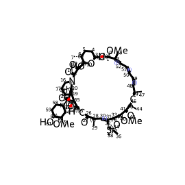 CO[C@H]1C[C@@H]2CC[C@@H](C)[C@@](O)(O2)C(=O)C(=O)N2CCCC3[C@H]2C(=O)O[C@@H](CC(=O)[C@H](C)/C=C(\C)[C@@H](O[Si](C)(C)C)[C@@H](OC)C(=O)[C@H](C)C[C@H](C)/C=C/C=C/C=C/1C)[C@H]3C[C@@H]1CC[C@@H](O)[C@H](OC)C1